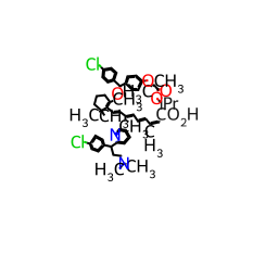 CC(C)OC(=O)C(C)(C)Oc1ccc(C(=O)c2ccc(Cl)cc2)cc1.CC1=C(/C=C/C(C)=C/C=C/C(C)=C\C(=O)O)C(C)(C)CCC1.CN(C)CCC(c1ccc(Cl)cc1)c1ccccn1